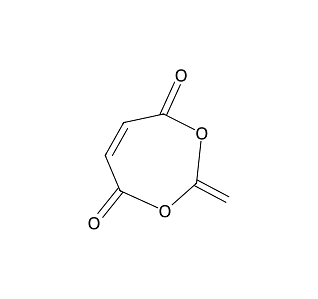 C=C1OC(=O)C=CC(=O)O1